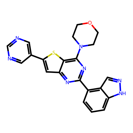 c1cc(-c2nc(N3CCOCC3)c3sc(-c4cncnc4)cc3n2)c2cn[nH]c2c1